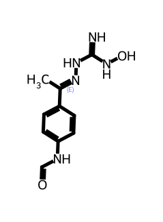 C/C(=N\NC(=N)NO)c1ccc(NC=O)cc1